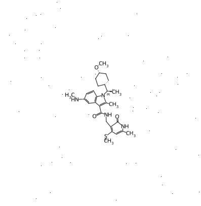 CNc1ccc2c(c1)c(C(=O)NCc1c(SC)cc(C)[nH]c1=O)c(C)n2[C@H](C)[C@H]1CC[C@@H](OC)CC1